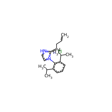 C=C[CH2]/[Pd]([Cl])=[c]1\[nH]ccn1-c1c(C(C)C)cccc1C(C)C